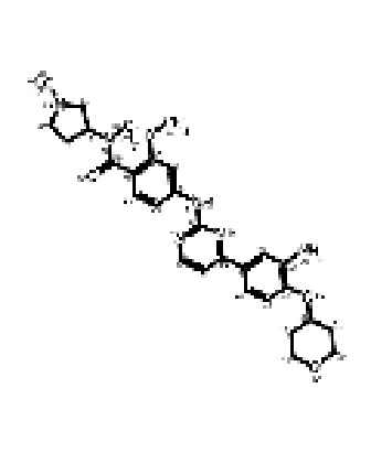 COc1cc(Nc2nccc(-c3ccc(OC4CCOCC4)c(N)c3)n2)ccc1C(=O)N(C)C1CCN(C)C1